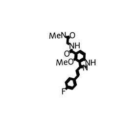 CNC(=O)CNC(=O)c1ccc2[nH]nc(C=Cc3ccc(F)cc3)c2c1OC